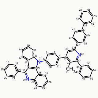 Cc1c(-c2ccc(-n3c4ccccc4c4c(-c5ccccc5)nc5ccccc5c43)cc2)cc(-c2ccc(-c3ccccc3)cc2)nc1-c1ccccc1